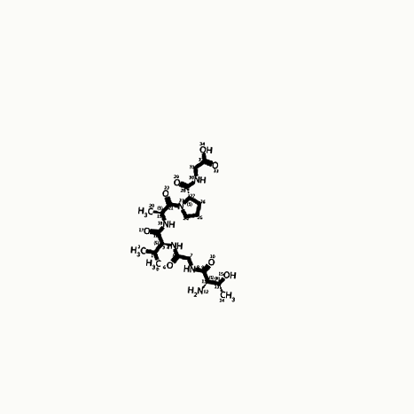 CC(C)[C@H](NC(=O)CNC(=O)[C@@H](N)[C@@H](C)O)C(=O)N[C@@H](C)C(=O)N1CCC[C@H]1C(=O)NCC(=O)O